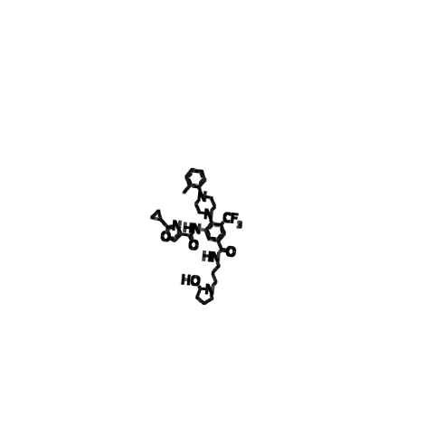 Cc1ccccc1N1CCN(c2c(NC(=O)c3coc(C4CC4)n3)cc(C(=O)NCCCN3CCCC3O)cc2C(F)(F)F)CC1